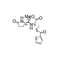 COC(=O)[C@H](CSC(=O)c1cccs1)NC(=O)[C@H]1CCC(=O)N1